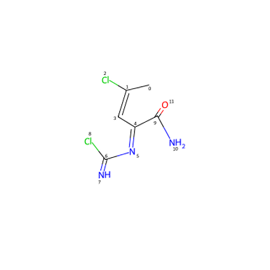 C/C(Cl)=C\C(=N/C(=N)Cl)C(N)=O